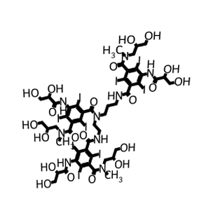 CN(CC(O)CO)C(=O)c1c(I)c(NC(=O)C(O)CO)c(I)c(C(=O)NCCCN(CCNC(=O)c2c(I)c(NC(=O)C(O)CO)c(I)c(C(=O)N(C)CC(O)CO)c2I)C(=O)c2c(I)c(NC(=O)C(O)CO)c(I)c(C(=O)N(C)CC(O)CO)c2I)c1I